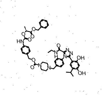 CCNC(=O)c1nnc(-c2cc(C(C)C)c(O)cc2O)n1-c1ccc(CN2CCN(C(=O)OCc3ccc(NC(=O)O[C@@H](C)C(=O)OCc4ccccc4)cc3)CC2)cc1